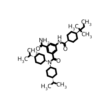 CCC(C)(C)[C@H]1CC[C@@H](C(=O)Nc2cc(C(N)=O)cc(C(=O)N([C@H]3CC[C@@H](C(C)C)CC3)[C@H]3CC[C@@H](C(C)C)CC3)c2)CC1